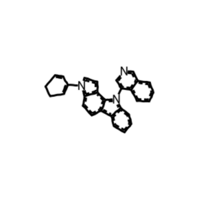 C1=CC(n2ccc3c2ccc2c4ccccc4n(-c4cncc5ccccc45)c23)=CCC1